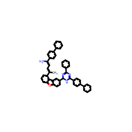 C/C(=C\C=C(/N)c1ccc(-c2ccccc2)cc1)c1cccc2oc3ccc(C4N=C(c5ccccc5)N=C(c5ccc(-c6ccccc6)cc5)N4)cc3c12